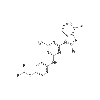 CCc1nc2c(F)cccc2n1-c1nc(N)nc(Nc2ccc(OC(F)F)cc2)n1